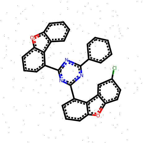 Clc1ccc2oc3cccc(-c4nc(-c5ccccc5)nc(-c5cccc6oc7ccccc7c56)n4)c3c2c1